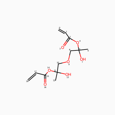 C=CC(=O)OC(C)(O)COCC(C)(O)OC(=O)C=C